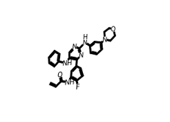 C=CC(=O)Nc1cc(-c2nc(Nc3cccc(N4CCOCC4)c3)ncc2Nc2ccccc2)ccc1F